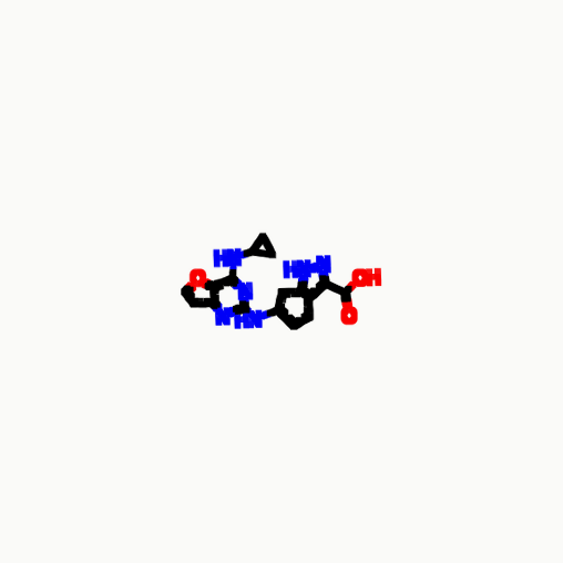 O=C(O)c1n[nH]c2cc(Nc3nc(NC4CC4)c4occc4n3)ccc12